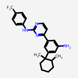 CC1CCCCC1(C)c1cc(N)cc(-c2ccnc(Nc3ccc(C(F)(F)F)cc3)n2)c1